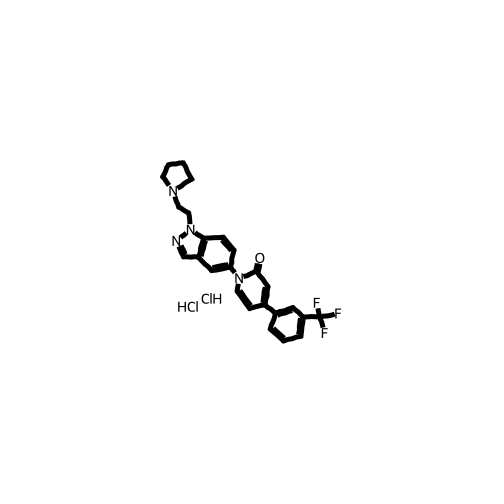 Cl.Cl.O=c1cc(-c2cccc(C(F)(F)F)c2)ccn1-c1ccc2c(cnn2CCN2CCCC2)c1